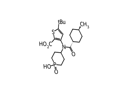 CC(C)(C)c1cc(N(C(=O)[C@H]2CC[C@H](C)CC2)C2CCP(=O)(O)CC2)c(C(=O)O)s1